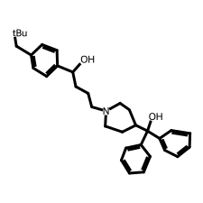 CC(C)(C)Cc1ccc(C(O)CCCN2CCC(C(O)(c3ccccc3)c3ccccc3)CC2)cc1